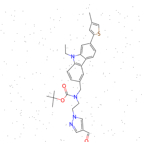 CCn1c2ccc(CN(CCn3cc(C=O)cn3)C(=O)OC(C)(C)C)cc2c2ccc(-c3cc(C)cs3)cc21